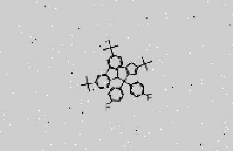 CC1=C(C(c2ccc(F)cc2)(c2ccc(F)cc2)C2c3ccc(C(C)(C)C)cc3-c3cc(C(C)(C)C)ccc32)C=C(C(C)(C)C)C1